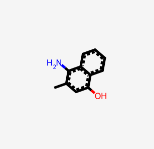 Cc1cc(O)c2ccccc2c1N